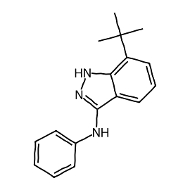 CC(C)(C)c1cccc2c(Nc3ccccc3)n[nH]c12